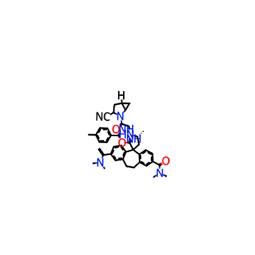 C=C(c1ccc2c(c1)CCc1cc(C(=O)N(C)C)ccc1C2(C[C@@H](C)NCC(=O)N1C(C#N)C[C@@H]2CC21)C(=N)OC(=N)c1ccc(C)cc1)N(C)C